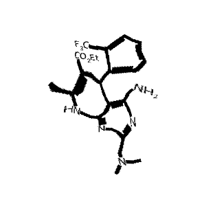 CCOC(=O)C1=C(C)Nc2nc(N(C)C)nc(N)c2C1c1ccccc1C(F)(F)F